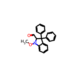 CON1c2ccccc2C(c2ccccc2)(c2ccccc2)C1C=O